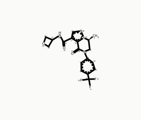 C[C@H]1CN(c2ccc(C(F)(F)F)cc2)C(=O)c2c(C(=O)NC3COC3)cnn21